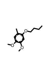 CCCCOc1cc(OC)c(OC)cc1C